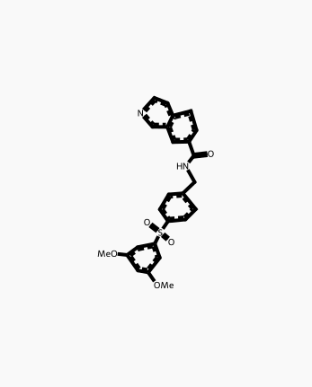 COc1cc(OC)cc(S(=O)(=O)c2ccc(CNC(=O)c3ccc4ccncc4c3)cc2)c1